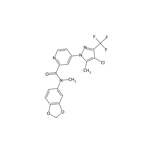 Cc1c(Cl)c(C(F)(F)F)nn1-c1ccnc(C(=O)N(C)c2ccc3c(c2)OCO3)c1